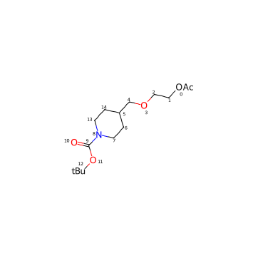 CC(=O)OCCOCC1CCN(C(=O)OC(C)(C)C)CC1